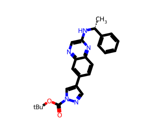 C[C@@H](Nc1cnc2cc(-c3cnn(C(=O)OC(C)(C)C)c3)ccc2n1)c1ccccc1